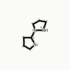 C1C[N]C(N2CCCN2)C1